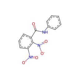 O=C(Nc1ccccc1)c1cccc([N+](=O)[O-])c1[N+](=O)[O-]